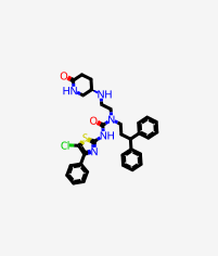 O=C1CC[C@@H](NCCN(CCC(c2ccccc2)c2ccccc2)C(=O)Nc2nc(-c3ccccc3)c(Cl)s2)CN1